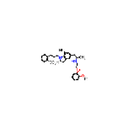 CCOc1ccccc1OCCNC(C)Cc1cc(C#N)c2c(c1)CCN2CCCc1ccccc1C(=O)O